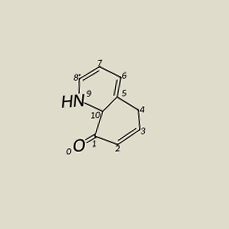 O=C1C=CCC2=CC=[C]NC12